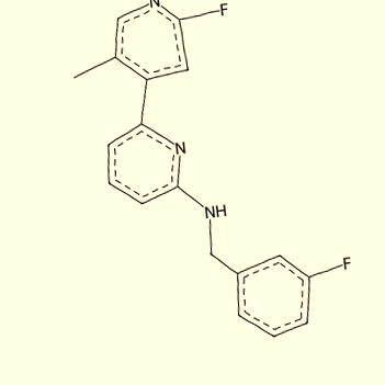 Cc1cnc(F)cc1-c1cccc(NCc2cccc(F)c2)n1